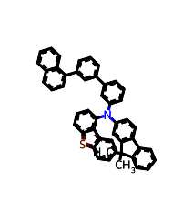 CC1(C)c2ccccc2-c2ccc(N(c3cccc(-c4cccc(-c5cccc6ccccc56)c4)c3)c3cccc4sc5ccccc5c34)cc21